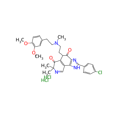 COc1ccc(CCN(C)CCC2C(=O)c3nc(-c4ccc(Cl)cc4)[nH]c3C3=C2C(=O)C(C)(C)N=C3)cc1OC.Cl.Cl